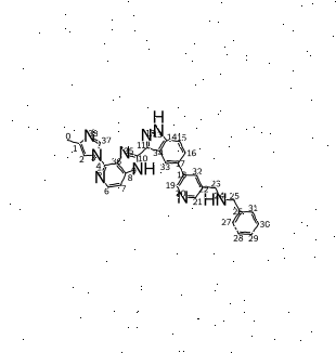 Cc1cn(-c2nccc3[nH]c(-c4n[nH]c5ccc(-c6cncc(CNCc7ccccc7)c6)cc45)nc23)cn1